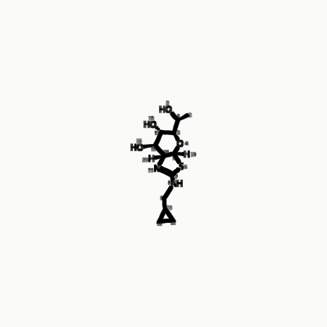 C[C@H](O)[C@H]1O[C@@H]2SC(NCC3CC3)=N[C@@H]2[C@@H](O)[C@@H]1O